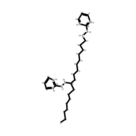 CCCCCCCCC(CCCCCCCCCSSc1ncccn1)SSc1ncccn1